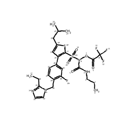 CCCNC(=O)N(OC(=O)C(F)(F)F)S(=O)(=O)c1sc(CC(C)C)cc1-c1ccc(Cn2ccnc2CC)c(F)c1